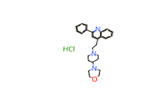 Cl.c1ccc(-c2cc(CCN3CCC(N4CCOCC4)CC3)c3ccccc3n2)cc1